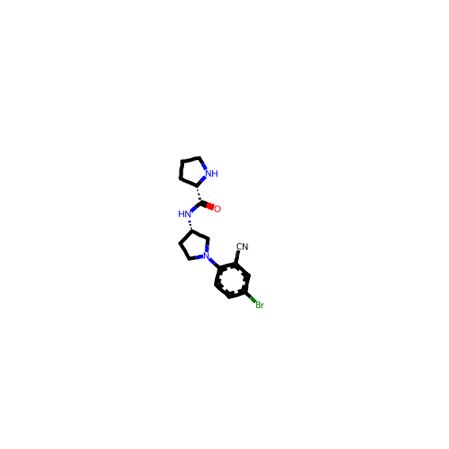 N#Cc1cc(Br)ccc1N1CC[C@H](NC(=O)[C@@H]2CCCN2)C1